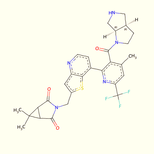 Cc1cc(C(F)(F)F)nc(-c2ccnc3cc(CN4C(=O)C5C(C4=O)C5(C)C)sc23)c1C(=O)N1CC[C@@H]2CNC[C@@H]21